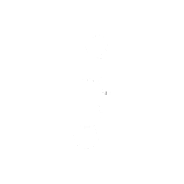 O=C(Cc1ccccc1)NC=Cc1ccccc1